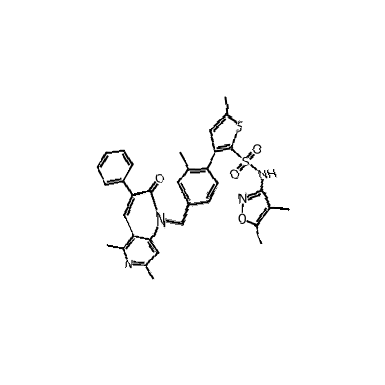 Cc1cc2c(cc(-c3ccccc3)c(=O)n2Cc2ccc(-c3cc(C)sc3S(=O)(=O)Nc3noc(C)c3C)c(C)c2)c(C)n1